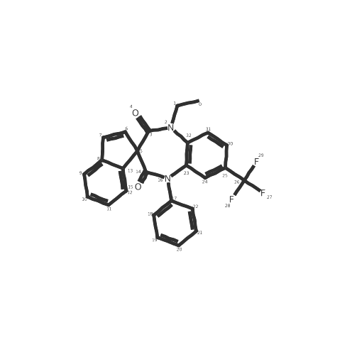 CCN1C(=O)C2(C=Cc3ccccc32)C(=O)N(c2ccccc2)c2cc(C(F)(F)F)ccc21